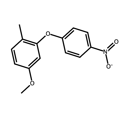 COc1ccc(C)c(Oc2ccc([N+](=O)[O-])cc2)c1